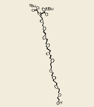 CC(C)(C)OC(=O)N(CCOCCOCCOCCOCCOCCOCCOCCOCCOCCOCCO)C(=O)OC(C)(C)C